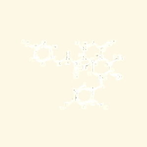 CC(C)[C@H]1C(=O)N(Cc2ccc(F)cc2F)C[C@H]2N1C(=O)CN(C)N2C(=O)NCc1ccc(F)cc1